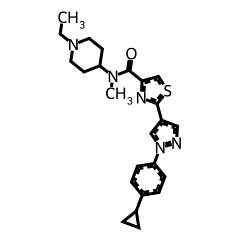 CCN1CCC(N(C)C(=O)c2csc(-c3cnn(-c4ccc(C5CC5)cc4)c3)n2)CC1